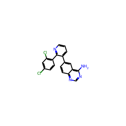 Nc1ncnc2ccc(-c3cccnc3-c3ccc(Cl)cc3Cl)cc12